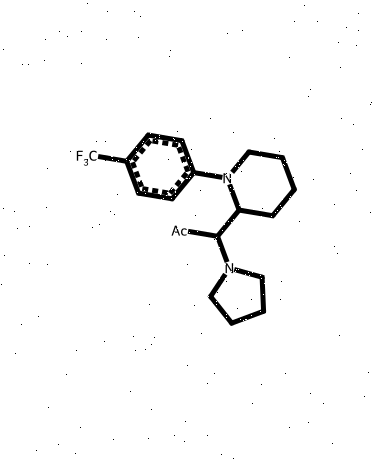 CC(=O)C(C1CCCCN1c1ccc(C(F)(F)F)cc1)N1CCCC1